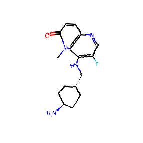 Cn1c(=O)ccc2ncc(F)c(NC[C@H]3CC[C@H](N)CC3)c21